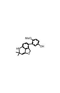 COc1ccc(O)cc1-c1ccc2c3c1COC3=CC(C)(C)N2